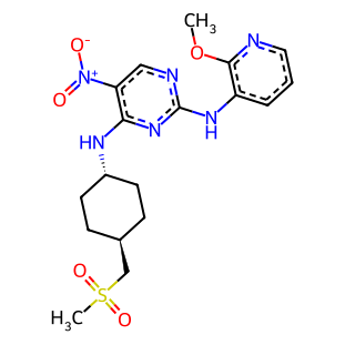 COc1ncccc1Nc1ncc([N+](=O)[O-])c(N[C@H]2CC[C@H](CS(C)(=O)=O)CC2)n1